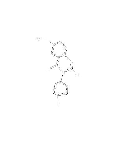 COc1ccc2nc(C)n(-c3ccc(S)cc3)c(=O)c2c1